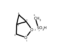 C1OOC2CC12.CS(=O)(=O)O